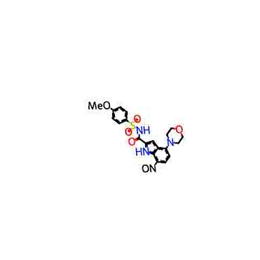 COc1ccc(S(=O)(=O)NC(=O)c2cc3c(N4CCOCC4)ccc(N=O)c3[nH]2)cc1